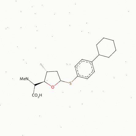 CNC(C(=O)O)[C@@H]1OC(Sc2ccc(C3CCCCC3)cc2)C[C@H]1C